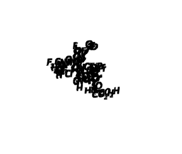 Cc1cc(CC(=O)N[C@H](CC(=O)O)C(=O)O)c(C(C)(C)CC(=O)NS(=O)(=O)Cc2nn(CC(F)(F)F)c3c(-c4ccc(C#CC(C)(C)S(C)(=O)=O)nc4[C@H](Cc4cc(F)cc(F)c4)NC(=O)Cn4nc(C(F)(F)F)c5c4C(F)(F)[C@@H]4C[C@H]54)ccc(Cl)c23)c(OP(=O)(OC(C)C)OC(C)C)c1